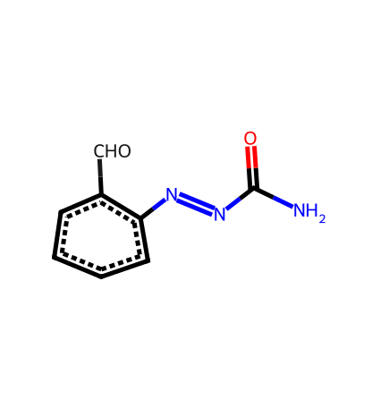 NC(=O)N=Nc1ccccc1C=O